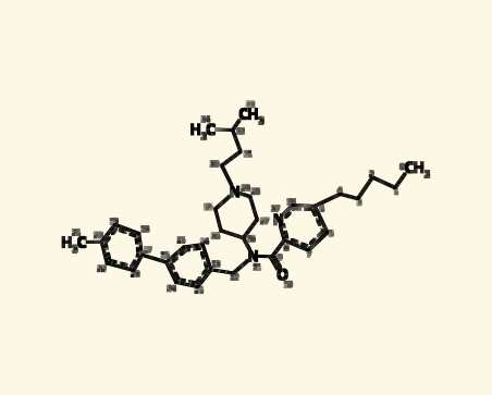 CCCCCc1ccc(C(=O)N(Cc2ccc(-c3ccc(C)cc3)cc2)C2CCN(CCC(C)C)CC2)nc1